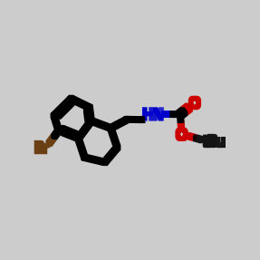 CC(C)(C)OC(=O)NCCC1CCCc2c(Br)cccc21